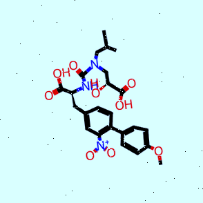 COc1ccc(-c2ccc(C[C@H](NC(=O)N(CC(C)C)C[C@H](O)C(=O)O)C(=O)O)cc2[N+](=O)[O-])cc1